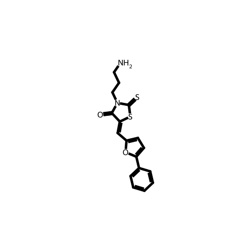 NCCCN1C(=O)/C(=C/c2ccc(-c3ccccc3)o2)SC1=S